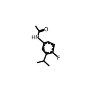 CC(=O)Nc1ccc(F)c(C(C)C)c1